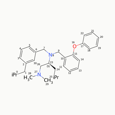 CC(C)Cc1cccc(CN(Cc2ccccc2Oc2ccccc2)[C@@H](CC(C)C)CN(C)C)c1